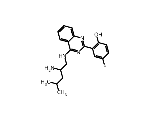 CC(C)CC(N)CNc1nc(-c2cc(F)ccc2O)nc2ccccc12